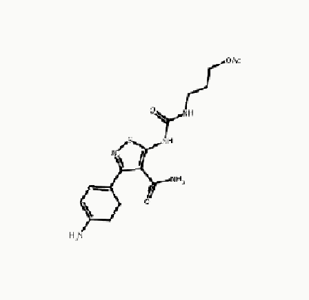 CC(=O)OCCCNC(=O)Nc1snc(C2=CC=C(N)CC2)c1C(N)=O